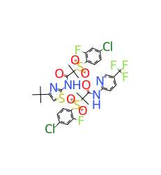 CC(C)(C(=O)Nc1ccc(C(F)(F)F)cn1)S(=O)(=O)c1ccc(Cl)cc1F.CC(C)(C)c1csc(NC(=O)C(C)(C)S(=O)(=O)c2ccc(Cl)cc2F)n1